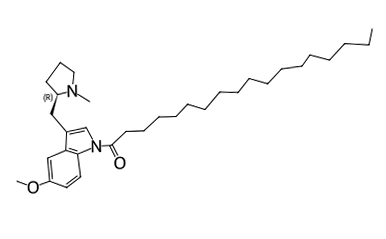 CCCCCCCCCCCCCCCCCC(=O)n1cc(C[C@H]2CCCN2C)c2cc(OC)ccc21